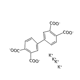 O=C([O-])c1ccc(-c2ccc(C(=O)[O-])c(C(=O)[O-])c2)cc1C(=O)[O-].[K+].[K+].[K+].[K+]